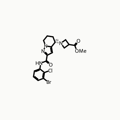 COC(=O)C1CN([C@H]2CCCn3nc(C(=O)Nc4cccc(Br)c4Cl)cc32)C1